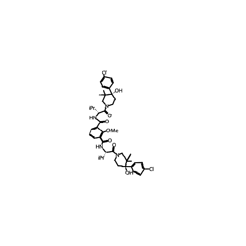 COc1c(C(=O)N[C@H](C(=O)N2CC[C@@](O)(c3ccc(Cl)cc3)C(C)(C)C2)C(C)C)cccc1C(=O)N[C@@H](C(=O)N1CC[C@](O)(c2ccc(Cl)cc2)C(C)(C)C1)C(C)C